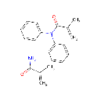 C=C(C)C(=O)N(c1ccccc1)c1ccccc1.C=C(C)C(N)=O